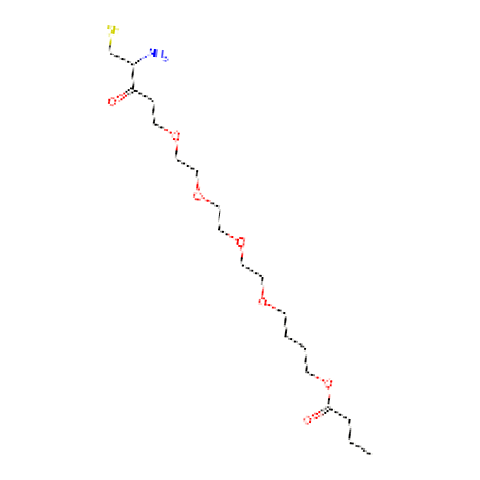 CCCC(=O)OCCCCOCCOCCOCCOCCC(=O)C(N)CS